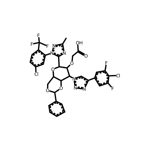 Cc1nc(C2OC3COC(c4ccccc4)OC3C(n3cc(-c4cc(F)c(Cl)c(F)c4)nn3)C2OCC(=O)O)n(-c2cc(Cl)ccc2C(F)(F)F)n1